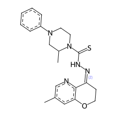 Cc1cnc2c(c1)OCC/C2=N/NC(=S)N1CCN(c2ccccc2)CC1C